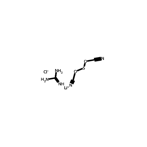 N#COSOC#N.N=C(N)N.[Cl-].[Li+]